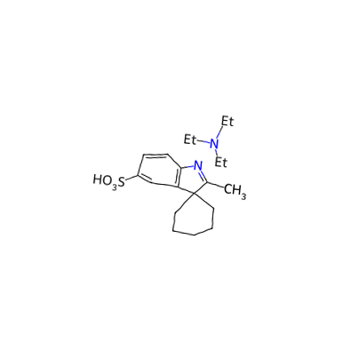 CC1=Nc2ccc(S(=O)(=O)O)cc2C12CCCCC2.CCN(CC)CC